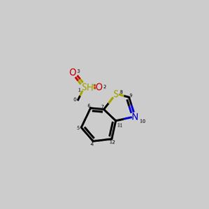 C[SH](=O)=O.c1ccc2scnc2c1